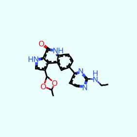 CCNc1nccc(-c2ccc3[nH]c(=O)c4[nH]cc(C5OC(C)O5)c4c3c2)n1